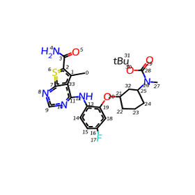 Cc1c(C(N)=O)sc2ncnc(Nc3ccc(F)cc3OC3CCCC(N(C)C(=O)OC(C)(C)C)C3)c12